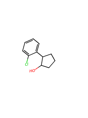 OC1CCCC1c1ccccc1Cl